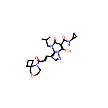 CC(C)Cn1c(=O)c(C(=O)NC2CC2)c(O)n2ncc(C=CC(=O)N3CCOCC34CCC4)c12